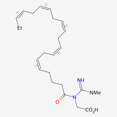 CC/C=C\C/C=C\C/C=C\C/C=C\C/C=C\CCCC(=O)N(CC(=O)O)C(=N)NC